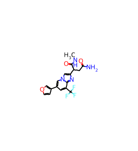 CNC(=O)C(CC(N)=O)c1cn2cc(-c3ccoc3)cc(C(F)(F)F)c2n1